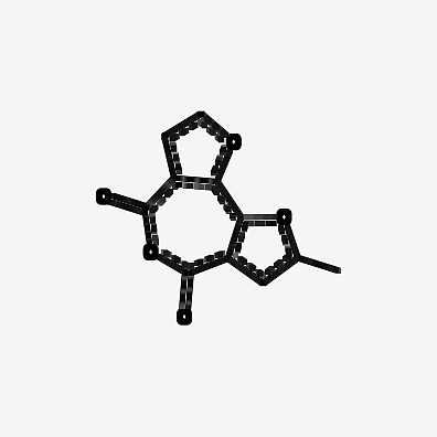 Cc1cc2c(=O)oc(=O)c3ccoc3c2o1